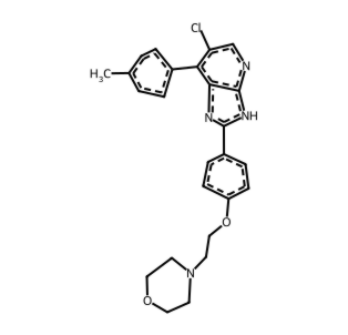 Cc1ccc(-c2c(Cl)cnc3[nH]c(-c4ccc(OCCN5CCOCC5)cc4)nc23)cc1